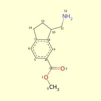 COC(=O)c1ccc2c(c1)C(CN)CC2